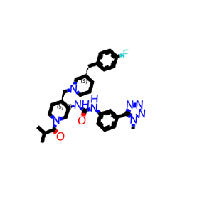 CC(C)C(=O)N1CC[C@@H](CN2CCC[C@@H](Cc3ccc(F)cc3)C2)[C@@H](NC(=O)Nc2cccc(-c3nnnn3C)c2)C1